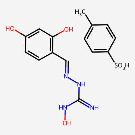 Cc1ccc(S(=O)(=O)O)cc1.N=C(NO)NN=Cc1ccc(O)cc1O